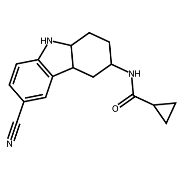 N#Cc1ccc2c(c1)C1CC(NC(=O)C3CC3)CCC1N2